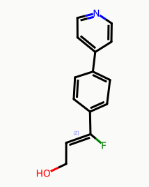 OC/C=C(\F)c1ccc(-c2ccncc2)cc1